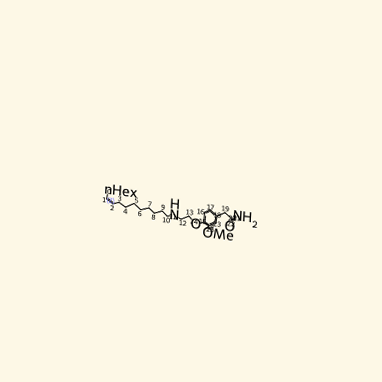 CCCCCC/C=C\CCCCCCCCNCCOc1ccc(CC(N)=O)cc1OC